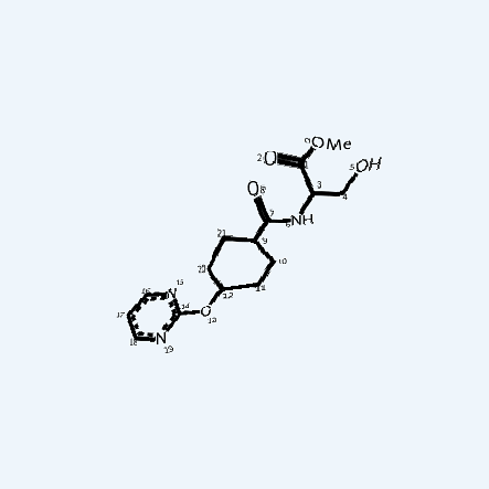 COC(=O)C(CO)NC(=O)C1CCC(Oc2ncccn2)CC1